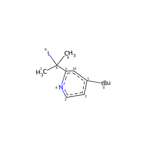 CC(C)(C)c1ccnc(C(C)(C)I)c1